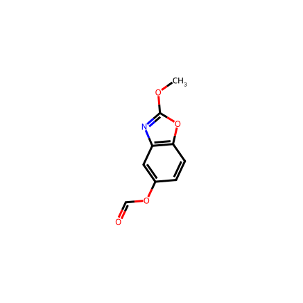 COc1nc2cc(OC=O)ccc2o1